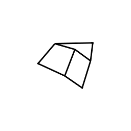 C1C2CC3CC1C23